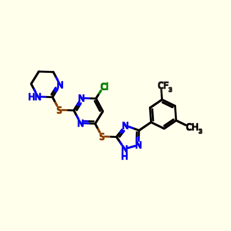 Cc1cc(-c2n[nH]c(Sc3cc(Cl)nc(SC4=NCCCN4)n3)n2)cc(C(F)(F)F)c1